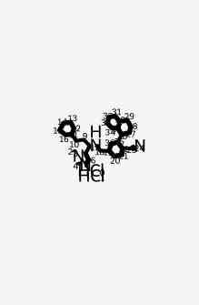 Cl.Cl.Cn1cncc1C(CCc1ccccc1)NCc1ccc(C#N)c(-c2cccc3ccccc23)c1